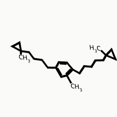 Cc1cc(CCCCC2(C)CC2)ccc1CCCCCC1(C)CC1